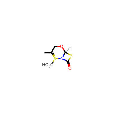 CC1=S(C(=O)O)N2C(=O)S[C@@H]2OC1